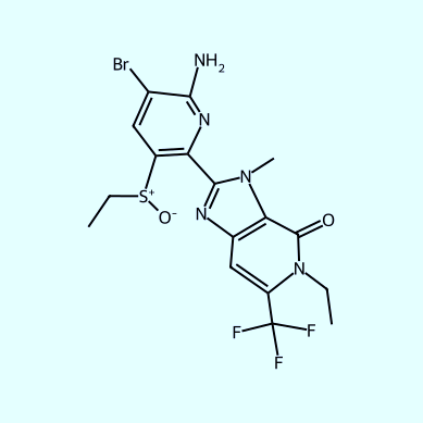 CCn1c(C(F)(F)F)cc2nc(-c3nc(N)c(Br)cc3[S+]([O-])CC)n(C)c2c1=O